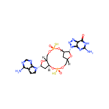 Nc1nc2c(nnn2[C@@H]2O[C@@H]3COP(=O)(S)O[C@H]4C[C@H](n5ccc6c(N)ncnc65)O[C@@H]4COP(=O)(S)O[C@H]2C3)c(=O)[nH]1